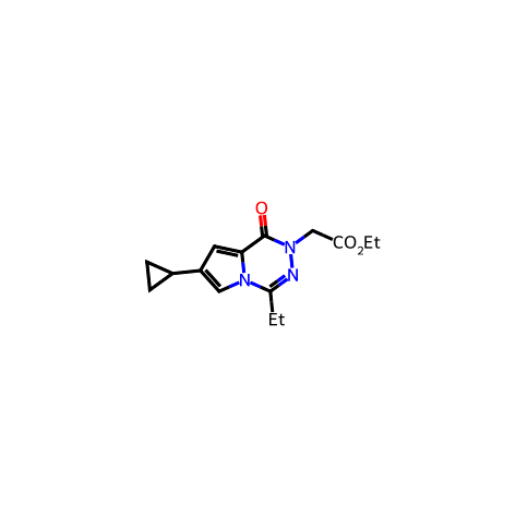 CCOC(=O)Cn1nc(CC)n2cc(C3CC3)cc2c1=O